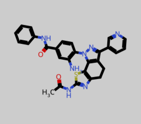 CC(=O)Nc1nc2c(s1)-c1c(c(-c3cccnc3)nn1-c1ccc(C(=O)Nc3ccccc3)cc1N)CC2